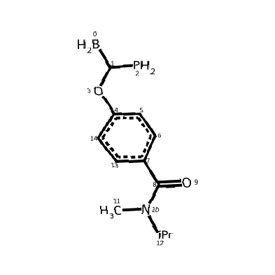 BC(P)Oc1ccc(C(=O)N(C)C(C)C)cc1